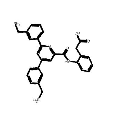 NCc1cccc(-c2cc(C(=O)Nc3ccccc3CC(=O)O)nc(-c3cccc(CN)c3)c2)c1